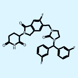 O=C1CCC(N2Cc3cc(CN4CCN(C(c5cccc(F)c5)c5cccc(F)c5)C4=O)c(F)cc3C2=O)C(=O)N1